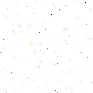 Oc1cc(-c2ncc3c(N4CC5CCC(C4)N5)nc(OCCc4ncccn4)nc3c2F)c2ccccc2c1